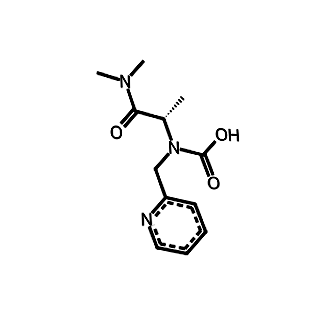 C[C@@H](C(=O)N(C)C)N(Cc1ccccn1)C(=O)O